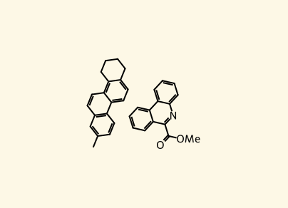 COC(=O)c1nc2ccccc2c2ccccc12.Cc1ccc2c(ccc3c4c(ccc32)CCCC4)c1